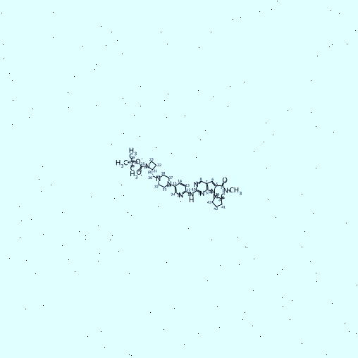 CN(C)C(=O)c1cc2cnc(Nc3ccc(N4CCN(C[C@H]5CCN5C(=O)OC(C)(C)C)CC4)cn3)nc2n1C1CCCC1